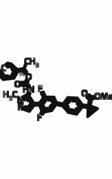 COC(=O)C1(c2ccc(-c3cc(F)c(-c4cnn(C)c4NC(=O)O[C@H](C)c4ccccc4)c(F)c3)cc2)CC1